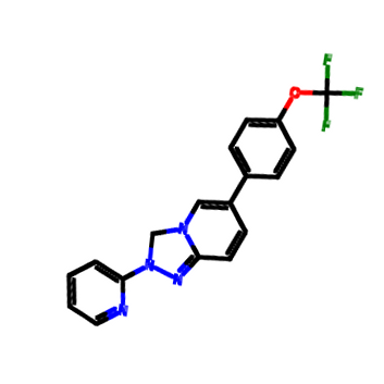 FC(F)(F)Oc1ccc(C2=CN3CN(c4ccccn4)N=C3C=C2)cc1